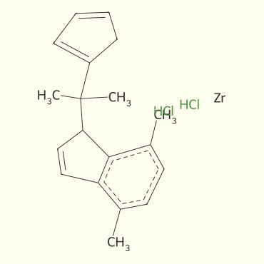 Cc1ccc(C)c2c1C=CC2C(C)(C)C1=CC=CC1.Cl.Cl.[Zr]